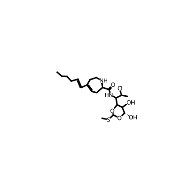 CCCC/C=C/C1=CCC(C(=O)NC(C(C)Cl)C2OC(SC)O[C@@H](O)C2O)NCC1